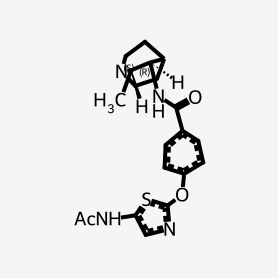 CC(=O)Nc1cnc(Oc2ccc(C(=O)N[C@@H]3C4CCN(CC4)[C@H]3C)cc2)s1